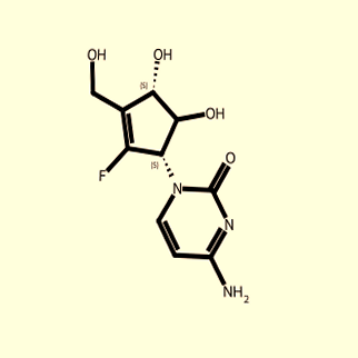 Nc1ccn([C@@H]2C(F)=C(CO)[C@H](O)C2O)c(=O)n1